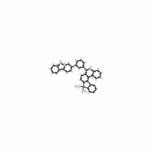 CC1(C)c2ccccc2-c2c1ccc1c(-c3cccc(-c4ccc5c6ccccc6nn5c4)c3)nc3ccccc3c21